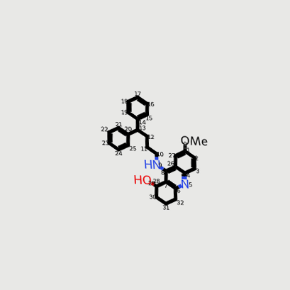 COc1ccc2nc3c(c(NCCCC(c4ccccc4)c4ccccc4)c2c1)C(O)CCC3